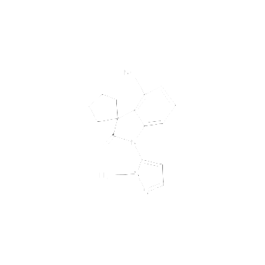 Cn1nccc1N1C(=O)C2(CCCC2)c2c(C#N)cccc21